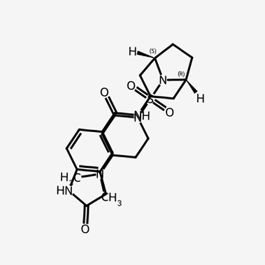 CN(C)C1CCN(S(=O)(=O)N2[C@@H]3CC[C@H]2CC(NC(=O)c2ccc4c(c2)CC(=O)N4)C3)CC1